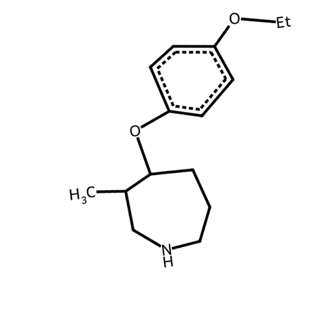 CCOc1ccc(OC2CCCNCC2C)cc1